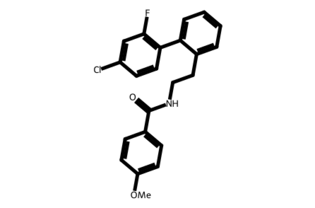 COc1ccc(C(=O)NCCc2ccccc2-c2ccc(Cl)cc2F)cc1